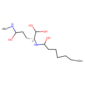 CCCCCCCCCCCCCCCC(O)N[C@H](CCC(O)NCCCC)C(O)O